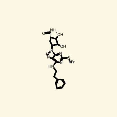 CCCSc1nc(NCCc2ccccc2)c2nnn(C3C[C@H](C(N)=O)C(O)C3O)c2n1